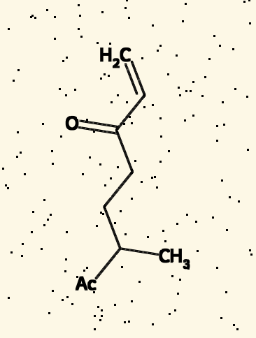 C=CC(=O)CCC(C)C(C)=O